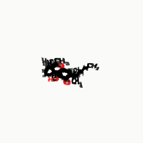 CCCCCCC(C)(C)C1C=C2OC(C)(C)[C@@H]3CCCC[C@H]3C2=C(O)C1=O